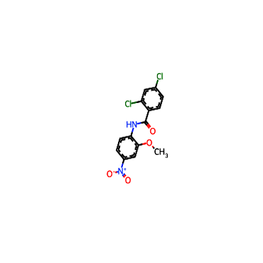 COc1cc([N+](=O)[O-])ccc1NC(=O)c1ccc(Cl)cc1Cl